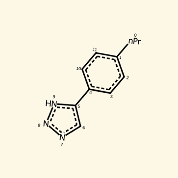 CCCc1ccc(-c2cnn[nH]2)cc1